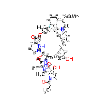 C=CC(=O)N1CC[C@](O)(C(=O)N(C)[C@H](C(=O)N[C@H]2Cc3cc(O)cc(c3)-c3ccc4c(c3)c(c(-c3c(F)cccc3CCOC)n4CC)CC(C)(C)COC(=O)[C@@H]3CCCN(N3)C2=O)C(C)C)C1